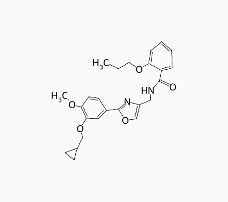 CCCOc1ccccc1C(=O)NCc1coc(-c2ccc(OC)c(OCC3CC3)c2)n1